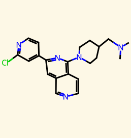 CN(C)CC1CCN(c2nc(-c3ccnc(Cl)c3)cc3cnccc23)CC1